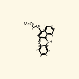 COCOc1cc2c(c3ccccc13)Nc1ccccc1S2